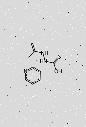 C=C(C)NNC(O)=S.c1ccncc1